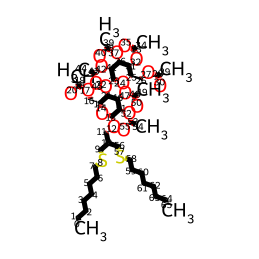 CCCCCCCCSCC(CO[C@H]1O[C@H](COC(C)=O)[C@@H](O[C@@H]2O[C@H](COC(C)=O)[C@H](OC(C)=O)[C@H](OC(C)=O)[C@H]2OC(C)=O)[C@H](OC(C)=O)[C@H]1OC(C)=O)CSCCCCCCCC